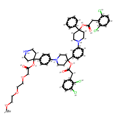 CCCCOCCOCCOCC(=O)OC1(c2ccc(N3CCC(OC(=O)Cc4cccc(Cl)c4Cl)(c4cccc(N5CCC(OC(=O)Cc6c(Cl)cccc6Cl)(c6ccccc6)CC5)c4)CC3)cc2)CCNCC1